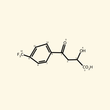 O=C(CC(O)C(=O)O)c1ccc(C(F)(F)F)cc1